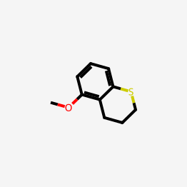 COc1cccc2c1CCCS2